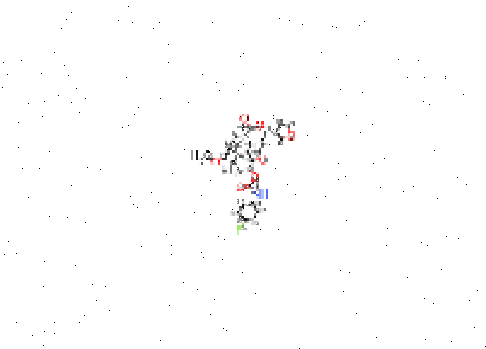 COC1=C[C@@]23CC[C@H]4C(=O)O[C@H](c5ccoc5)C[C@]4(C)[C@H]2C(=O)[C@@H](OC(=O)Nc2ccc(F)cc2)C[C@@H]13